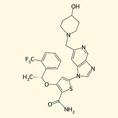 C[C@@H](Oc1cc(-n2cnc3cnc(CN4CCC(O)CC4)cc32)sc1C(N)=O)c1ccccc1C(F)(F)F